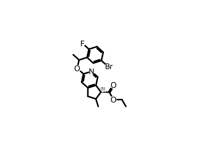 CCOC(=O)[C@@H]1c2cnc(OC(C)c3cc(Br)ccc3F)cc2CC1C